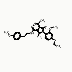 CCOc1ccc(-n2c(C)c3c(C)nnc(NCCc4ccc(OC)cc4)c3c2C)c(OC)c1